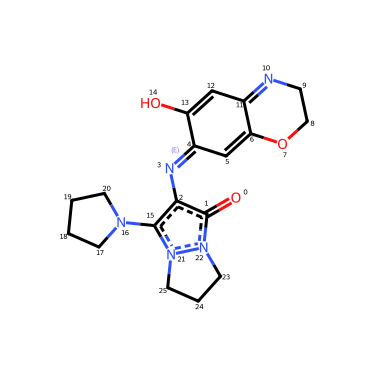 O=c1c(/N=C2\C=C3OCCN=C3C=C2O)c(N2CCCC2)n2n1CCC2